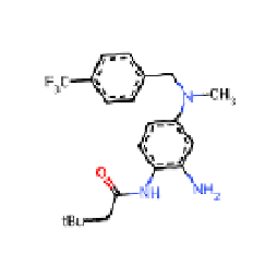 CN(Cc1ccc(C(F)(F)F)cc1)c1ccc(NC(=O)CC(C)(C)C)c(N)c1